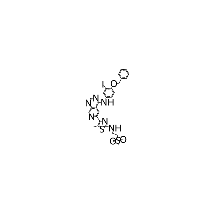 Cc1sc(NCCS(C)(=O)=O)nc1-c1cc2c(Nc3ccc(OCc4ccccc4)c(I)c3)ncnc2cn1